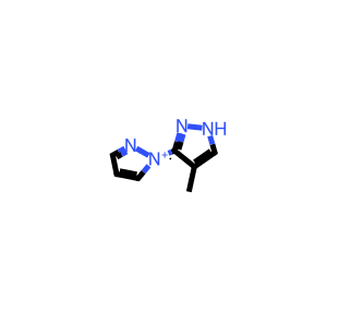 Cc1c[nH]nc1[N+]1C=CC=N1